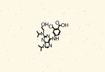 CC(C)N(CCO)c1nc(Nc2ccc(C(=O)O)c(Cl)c2)c2ncn(C(C)C)c2n1